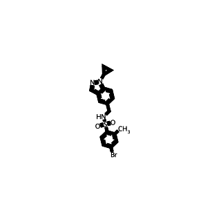 Cc1cc(Br)ccc1S(=O)(=O)NCc1ccc2c(cnn2C2CC2)c1